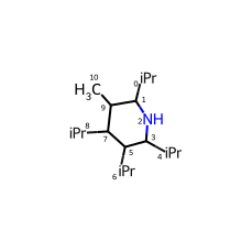 CC(C)C1NC(C(C)C)C(C(C)C)C(C(C)C)C1C